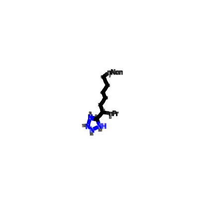 [CH2]CCC(CCCCCCCCCCCCCC)c1nnn[nH]1